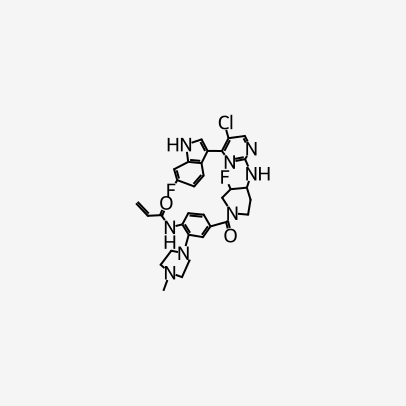 C=CC(=O)Nc1ccc(C(=O)N2CCC(Nc3ncc(Cl)c(-c4c[nH]c5cc(F)ccc45)n3)C(F)C2)cc1N1CCN(C)CC1